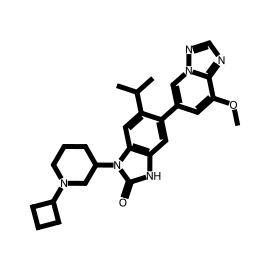 COc1cc(-c2cc3[nH]c(=O)n(C4CCCN(C5CCC5)C4)c3cc2C(C)C)cn2ncnc12